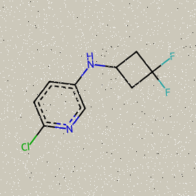 FC1(F)CC(Nc2ccc(Cl)nc2)C1